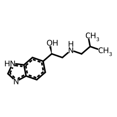 CC(C)CNC[C@H](O)c1ccc2nc[nH]c2c1